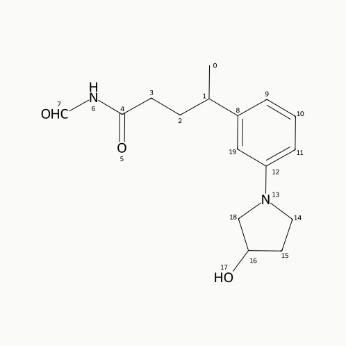 CC(CCC(=O)NC=O)c1cccc(N2CCC(O)C2)c1